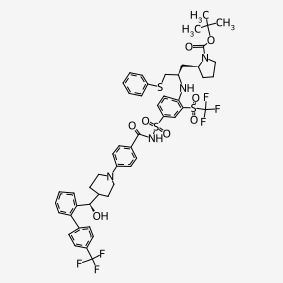 CC(C)(C)OC(=O)N1CCC[C@H]1C[C@H](CSc1ccccc1)Nc1ccc(S(=O)(=O)NC(=O)c2ccc(N3CCC([C@@H](O)c4ccccc4-c4ccc(C(F)(F)F)cc4)CC3)cc2)cc1S(=O)(=O)C(F)(F)F